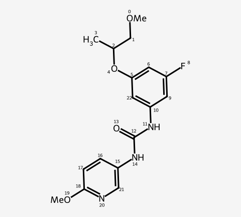 COCC(C)Oc1cc(F)cc(NC(=O)Nc2ccc(OC)nc2)c1